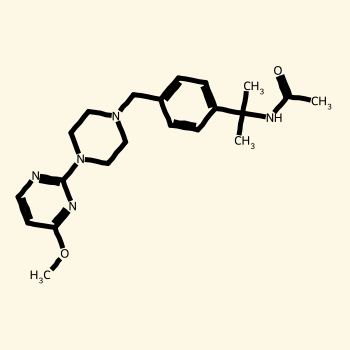 COc1ccnc(N2CCN(Cc3ccc(C(C)(C)NC(C)=O)cc3)CC2)n1